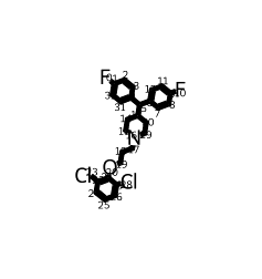 Fc1ccc(C(c2ccc(F)cc2)C2CCN(CCCOc3c(Cl)cccc3Cl)CC2)cc1